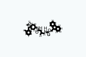 Cc1ccccc1CC1(N(C)C)CCC(NC(=O)CC(C)CNC(=O)OCC2c3ccccc3-c3ccccc32)CC1